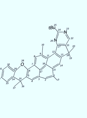 Cc1cc2cc3c(c4cc(C)c5c6c(cc1c5c24)C(C)(C)c1cnc(C(C)(C)C)nc1-6)Oc1ccccc1C3(C)C